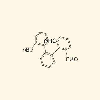 CCCCc1ccccc1-c1ccccc1-c1c(C=O)cccc1C=O